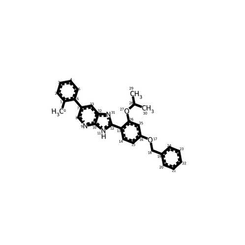 Cc1ccccc1-c1cnc2[nH]c(-c3ccc(OCc4ccccc4)cc3OC(C)C)nc2c1